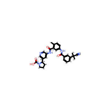 Cc1ccc(NC(=O)c2cccc(C(C)(C)C#N)c2)cc1C(=O)Nc1cncc(C2CCCN2C(=O)O)c1